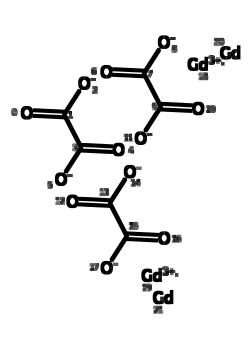 O=C([O-])C(=O)[O-].O=C([O-])C(=O)[O-].O=C([O-])C(=O)[O-].[Gd+3].[Gd+3].[Gd].[Gd]